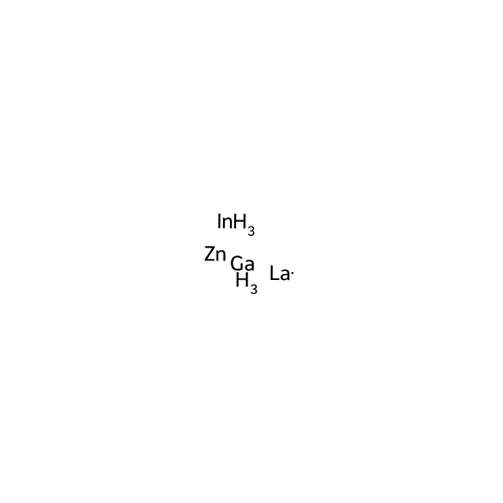 [GaH3].[InH3].[La].[Zn]